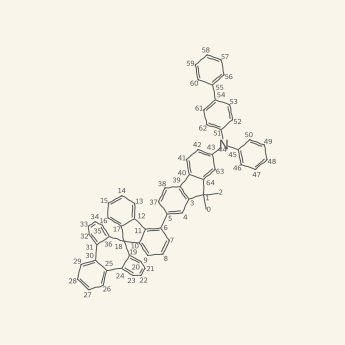 CC1(C)c2cc(-c3cccc4c3-c3ccccc3C43c4ccccc4-c4ccccc4-c4ccccc43)ccc2-c2ccc(N(c3ccccc3)c3ccc(-c4ccccc4)cc3)cc21